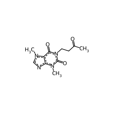 CC(=O)CCn1c(=O)c2c(ncn2C)n(C)c1=O